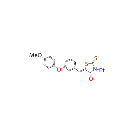 CCN1C(=O)/C(=C/c2cccc(Oc3ccc(OC)cc3)c2)SC1=S